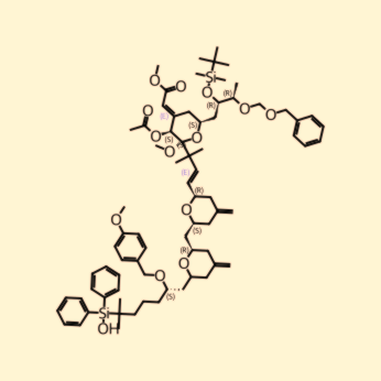 C=C1CC(C[C@H](CCCC(C)(C)[Si](O)(c2ccccc2)c2ccccc2)OCc2ccc(OC)cc2)O[C@@H](C[C@@H]2CC(=C)C[C@H](/C=C/C(C)(C)[C@]3(OC)O[C@H](C[C@@H](O[Si](C)(C)C(C)(C)C)[C@@H](C)OCOCc4ccccc4)C/C(=C\C(=O)OC)[C@@H]3OC(C)=O)O2)C1